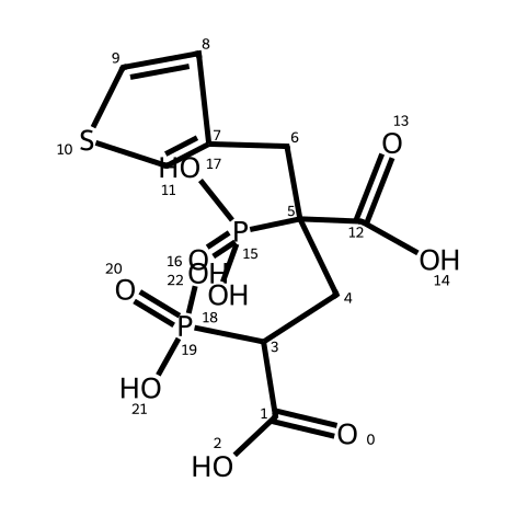 O=C(O)C(CC(Cc1ccsc1)(C(=O)O)P(=O)(O)O)P(=O)(O)O